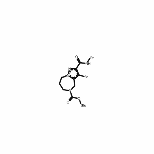 CC(C)NC(=O)c1nn2c(c1Br)CN(C(=O)OC(C)(C)C)CCC2